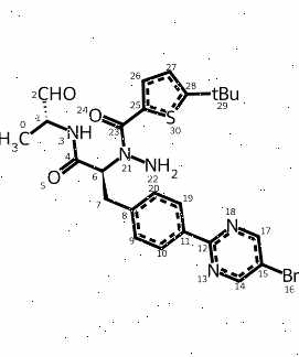 C[C@H](C=O)NC(=O)[C@H](Cc1ccc(-c2ncc(Br)cn2)cc1)N(N)C(=O)c1ccc(C(C)(C)C)s1